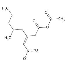 CCCC(C)CC(=C[N+](=O)[O-])CC(=O)OC(C)=O